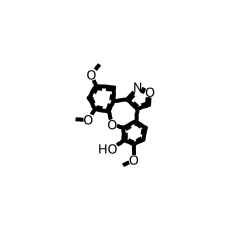 COc1cc(OC)c2c(c1)-c1nocc1-c1ccc(OC)c(O)c1O2